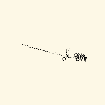 C=CCCCCCCCCCCCCCCCCCCCCC(=O)NCCC[Si](OC)(OC)OC